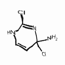 NC1(Cl)C=CNC(Cl)=N1